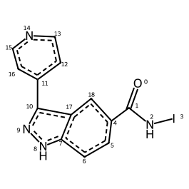 O=C(NI)c1ccc2[nH]nc(-c3ccncc3)c2c1